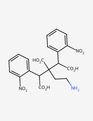 NCCC(C(=O)O)(C(C(=O)O)c1ccccc1[N+](=O)[O-])C(C(=O)O)c1ccccc1[N+](=O)[O-]